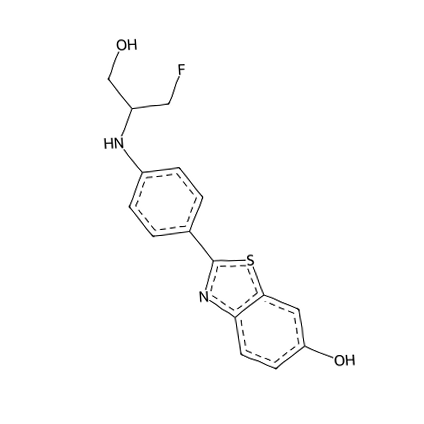 OCC(CF)Nc1ccc(-c2nc3ccc(O)cc3s2)cc1